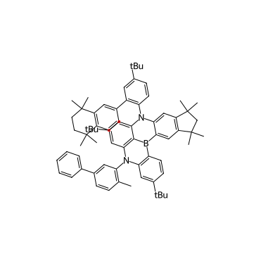 Cc1ccc(-c2ccccc2)cc1N1c2cc(C(C)(C)C)ccc2B2c3cc4c(cc3N(c3ccc(C(C)(C)C)cc3-c3ccc5c(c3)C(C)(C)CCC5(C)C)c3cc(C(C)(C)C)cc1c32)C(C)(C)CC4(C)C